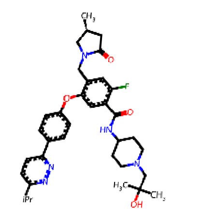 CC(C)c1ccc(-c2ccc(Oc3cc(C(=O)NC4CCN(CC(C)(C)O)CC4)c(F)cc3CN3C[C@@H](C)CC3=O)cc2)nn1